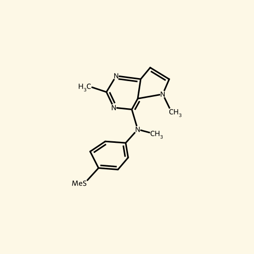 CSc1ccc(N(C)c2nc(C)nc3ccn(C)c23)cc1